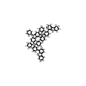 c1ccc(-n2c3ccc([Si](c4ccccc4)(c4ccccc4)c4cccc(-c5cccc6c5sc5ccccc56)c4)cc3c3cc([Si](c4ccccc4)(c4ccccc4)c4cccc(-c5nccc6c5sc5ccccc56)c4)ccc32)cc1